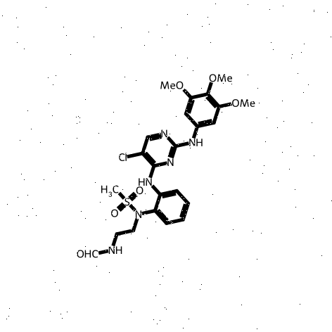 COc1cc(Nc2ncc(Cl)c(Nc3ccccc3N(CCNC=O)S(C)(=O)=O)n2)cc(OC)c1OC